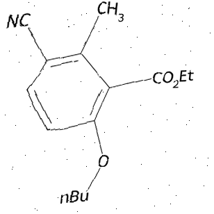 CCCCOc1ccc(C#N)c(C)c1C(=O)OCC